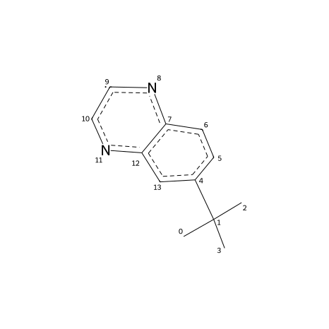 CC(C)(C)c1ccc2n[c]cnc2c1